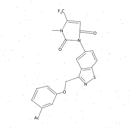 CC(=O)c1cccc(OCc2nsc3ccc(-n4c(=O)cc(C(F)(F)F)n(C)c4=O)cc23)c1